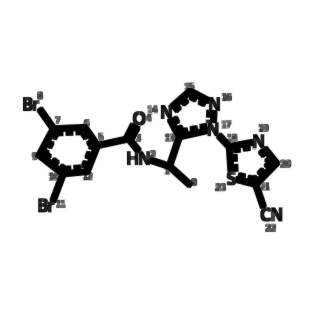 CC(NC(=O)c1cc(Br)cc(Br)c1)c1ncnn1-c1ncc(C#N)s1